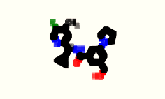 Cc1cc([C@@H](NC(=O)c2cc(CO)cc(N3CCCC3)c2)C2CC2)ncc1F